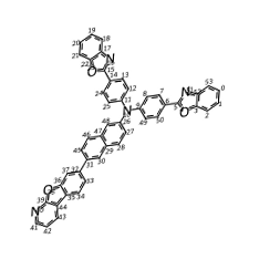 c1ccc2oc(-c3ccc(N(c4ccc(-c5nc6ccccc6o5)cc4)c4ccc5cc(-c6ccc7c(c6)oc6ncccc67)ccc5c4)cc3)nc2c1